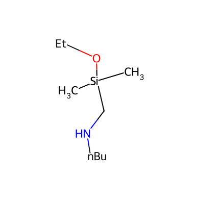 CCCCNC[Si](C)(C)OCC